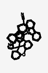 N#Cc1ccc2c(c1)c1ccccc1n2-c1cccc2c1C1(c3ccccc3O2)c2cccnc2-c2ncc(-n3c4ccccc4c4ccccc43)cc21